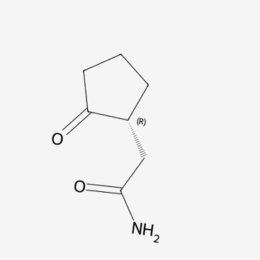 NC(=O)C[C@H]1CCCC1=O